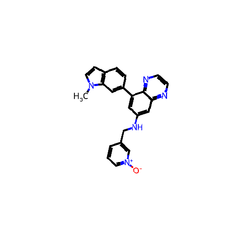 Cn1ccc2ccc(-c3cc(NCc4ccc[n+]([O-])c4)cc4nccnc34)cc21